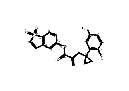 C=C(CC1(c2cc(C(F)(F)F)ccc2F)CC1)C(=O)Nc1ccc2c(c1)C=CS2(=O)=O